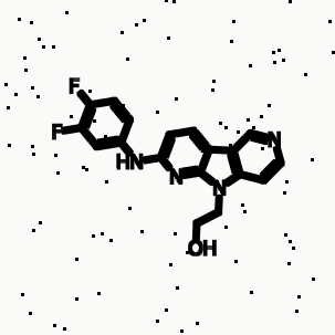 OCCn1c2ccncc2c2ccc(Nc3ccc(F)c(F)c3)nc21